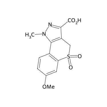 COc1ccc2c(c1)S(=O)(=O)Cc1c(C(=O)O)nn(C)c1-2